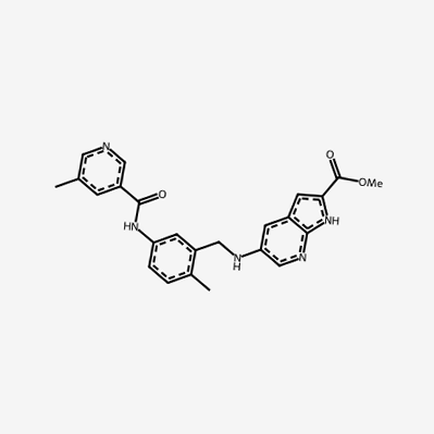 COC(=O)c1cc2cc(NCc3cc(NC(=O)c4cncc(C)c4)ccc3C)cnc2[nH]1